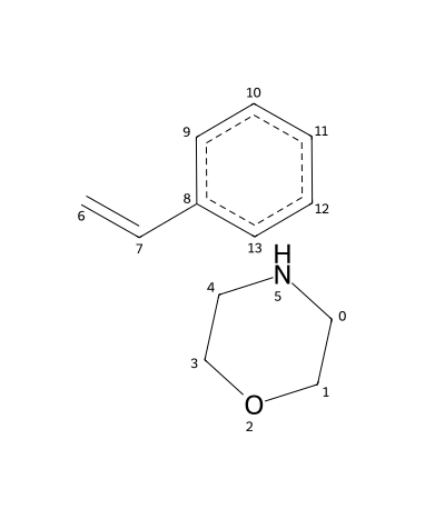 C1COCCN1.C=Cc1ccccc1